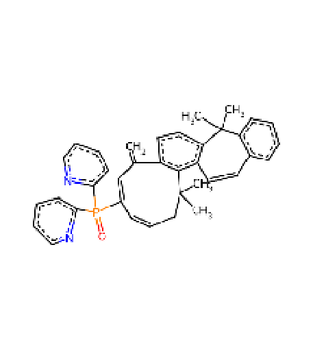 C=C1/C=C(P(=O)(c2ccccn2)c2ccccn2)\C=C/CC(C)(C)c2c1ccc1c2C=Cc2ccccc2C1(C)C